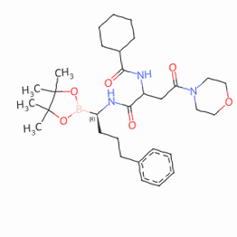 CC1(C)OB([C@H](CCCc2ccccc2)NC(=O)C(CC(=O)N2CCOCC2)NC(=O)C2CCCCC2)OC1(C)C